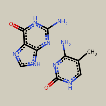 Cc1c[nH]c(=O)nc1N.Nc1nc2[nH]cnc2c(=O)[nH]1